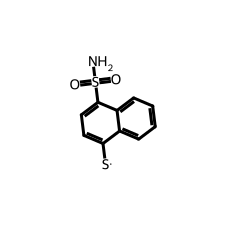 NS(=O)(=O)c1ccc([S])c2ccccc12